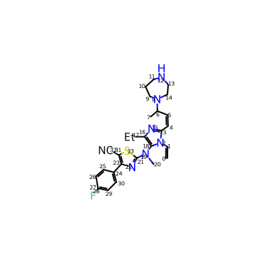 C=Cn1c(/C=C\C(C)N2CCCNCC2)nc(CC)c1N(C)c1nc(-c2ccc(F)cc2)c(C#N)s1